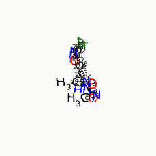 Cc1oncc1NC(=O)N1CCC(=Cc2cccc(Oc3ccc(Br)cn3)c2)C(C)C1